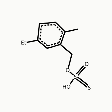 CCc1ccc(C)c(COS(=O)(O)=S)c1